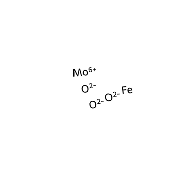 [Fe].[Mo+6].[O-2].[O-2].[O-2]